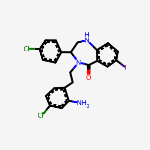 Nc1cc(Cl)ccc1CCN1C(=O)c2cc(I)ccc2NCC1c1ccc(Cl)cc1